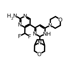 Nc1ncc(C2=NC(N3C4CCC3COC4)NC(N3CCOCC3)=C2)c(C(F)F)n1